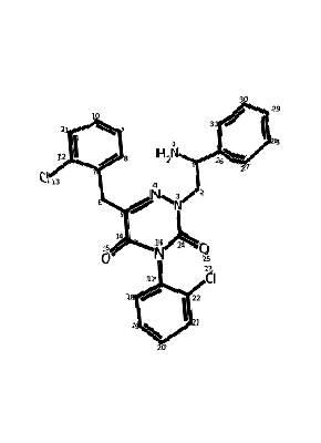 NC(Cn1nc(Cc2ccccc2Cl)c(=O)n(-c2ccccc2Cl)c1=O)c1ccccc1